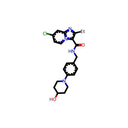 CCc1nc2cc(Cl)ccn2c1C(=O)NCc1ccc(N2CCC(O)CC2)cc1